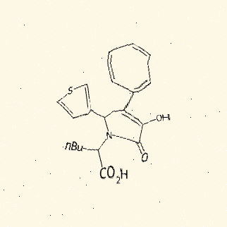 CCCCC(C(=O)O)N1C(=O)C(O)=C(c2ccccc2)C1c1ccsc1